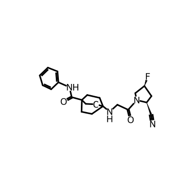 N#C[C@@H]1C[C@H](F)CN1C(=O)CNC12CCC(C(=O)Nc3ccccc3)(CC1)CC2